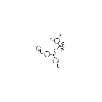 CS(=O)(=O)[C@H](c1cc(F)cc(F)c1)C1CN([C@@H](c2ccc(Cl)cc2)c2ccc(CN3CCCC3)cc2)C1